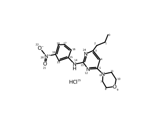 CCCc1cc(N2CCOCC2)nc(Nc2cccc([N+](=O)[O-])c2)n1.Cl